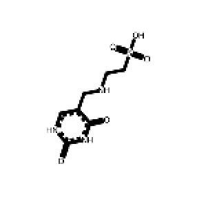 O=c1[nH]cc(CNCCS(=O)(=O)O)c(=O)[nH]1